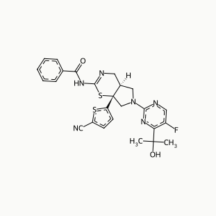 CC(C)(O)c1nc(N2C[C@@H]3CN=C(NC(=O)c4ccccc4)S[C@@]3(c3ccc(C#N)s3)C2)ncc1F